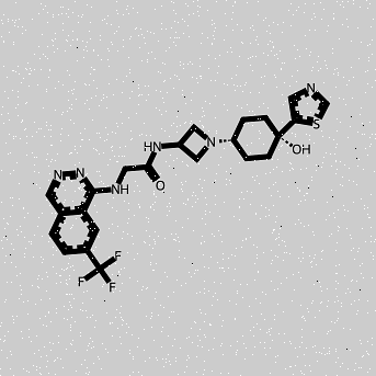 O=C(CNc1nncc2ccc(C(F)(F)F)cc12)NC1CN([C@H]2CC[C@](O)(c3cncs3)CC2)C1